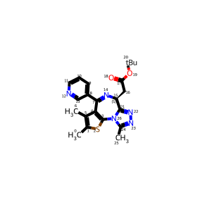 Cc1sc2c(c1C)C(c1cccnc1)=N[C@@H](CC(=O)OC(C)(C)C)c1nnc(C)n1-2